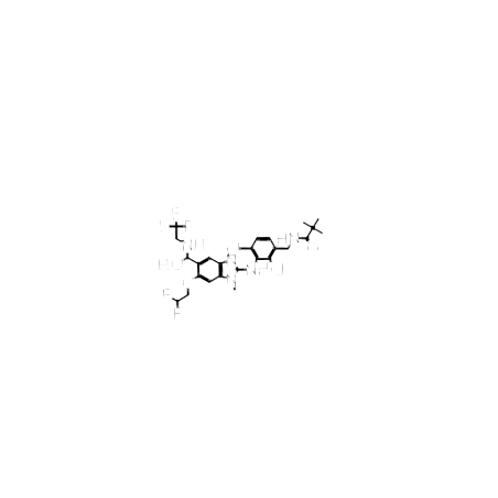 Cn1c(Nc2c(Cl)ccc(CNC(=O)C(C)(C)C)c2Cl)nc2cc(C(O)NCC(F)(F)F)c(OCC(F)F)cc21